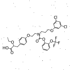 CCOC(Cc1ccc(OCCN(CCCOc2cc(Cl)cc(Cl)c2)C(=O)Oc2ccccc2OC(F)(F)F)cc1)C(=O)O